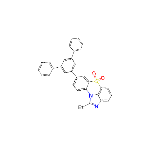 CCc1nc2cccc3c2n1-c1ccc(-c2cc(-c4ccccc4)cc(-c4ccccc4)c2)cc1S3(=O)=O